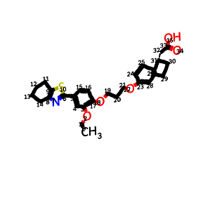 CCOc1cc(-c2nc3c(s2)CCCC3)ccc1OCCCOc1ccc2c(c1)CC[C@H]2CC(=O)O